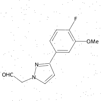 COc1cc(-c2ccn(CC=O)n2)ccc1F